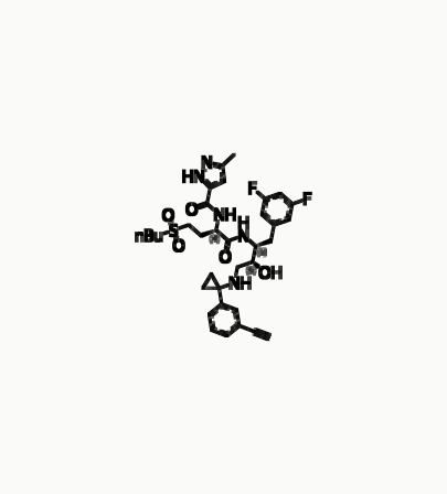 C#Cc1cccc(C2(NC[C@H](O)[C@H](Cc3cc(F)cc(F)c3)NC(=O)[C@@H](CCS(=O)(=O)CCCC)NC(=O)c3cc(C)n[nH]3)CC2)c1